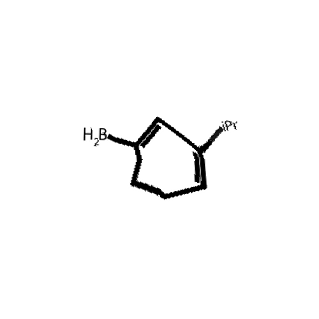 BC1=CC(C(C)C)=CCC1